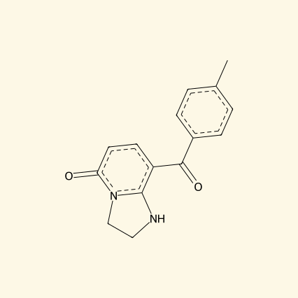 Cc1ccc(C(=O)c2ccc(=O)n3c2NCC3)cc1